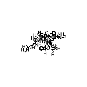 C[C@@H](NC(=O)[C@H](CS)NC(=O)[C@@H](N)CCCNC(=N)N)C(=O)N[C@@H](Cc1c[nH]cn1)C(=O)N[C@H](Cc1ccccc1)C(=O)N[C@@H](CCCNC(=N)N)C(=O)N[C@@H](Cc1c[nH]c2ccccc12)C(=O)N[C@@H](CS)C(=O)O